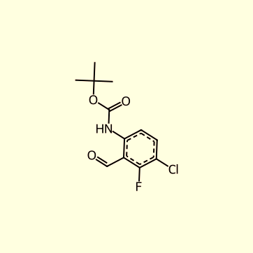 CC(C)(C)OC(=O)Nc1ccc(Cl)c(F)c1C=O